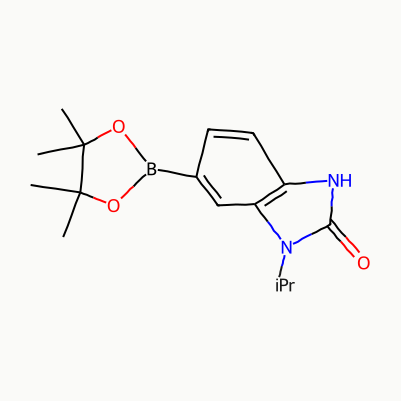 CC(C)n1c(=O)[nH]c2ccc(B3OC(C)(C)C(C)(C)O3)cc21